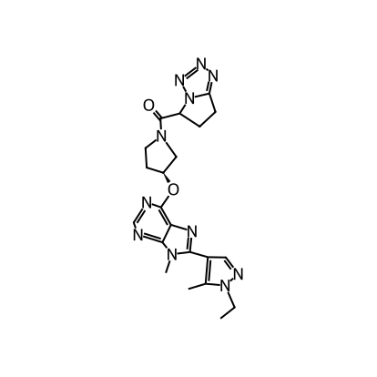 CCn1ncc(-c2nc3c(O[C@H]4CCN(C(=O)C5CCc6nnnn65)C4)ncnc3n2C)c1C